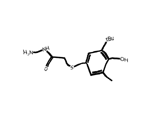 Cc1cc(SCC(=O)NN)cc(C(C)(C)C)c1O